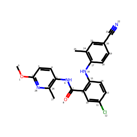 COc1ccc(NC(=O)c2cc(Cl)ccc2Nc2ccc(C#N)cc2C)c(C)n1